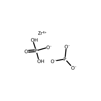 O=P([O-])(O)O.[O-]P([O-])[O-].[Zr+4]